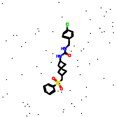 O=C(NCc1ccc(Cl)cc1)NC1CC2(CC(CS(=O)(=O)c3ccccc3)C2)C1